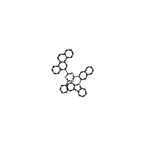 c1ccc(-c2nc(-c3cc4ccccc4cc3-n3c4ccccc4c4ccccc43)nc(-c3cc4c5ccccc5ccc4c4ccccc34)n2)cc1